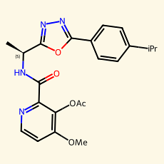 COc1ccnc(C(=O)N[C@@H](C)c2nnc(-c3ccc(C(C)C)cc3)o2)c1OC(C)=O